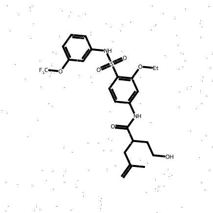 C=C(C)CC(CCO)C(=O)Nc1ccc(S(=O)(=O)Nc2cccc(OC(F)(F)F)c2)c(OCC)c1